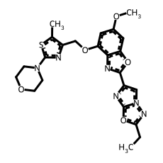 CCc1nn2cc(-c3nc4c(OCc5nc(N6CCOCC6)sc5C)cc(OC)cc4o3)nc2o1